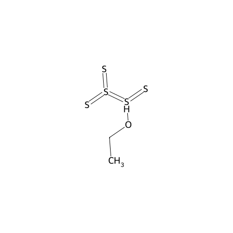 CCO[SH](=S)=S(=S)=S